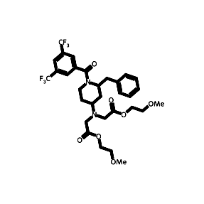 COCCOC(=O)CN(CC(=O)OCCOC)C1CCN(C(=O)c2cc(C(F)(F)F)cc(C(F)(F)F)c2)C(Cc2ccccc2)C1